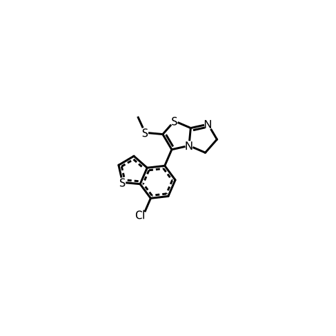 CSC1=C(c2ccc(Cl)c3sccc23)N2CCN=C2S1